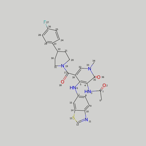 CC(=O)Nc1c(Nc2ccc3ncsc3c2)c(C(=O)N2CCC(c3ccc(F)cc3)CC2)cn(C)c1=O